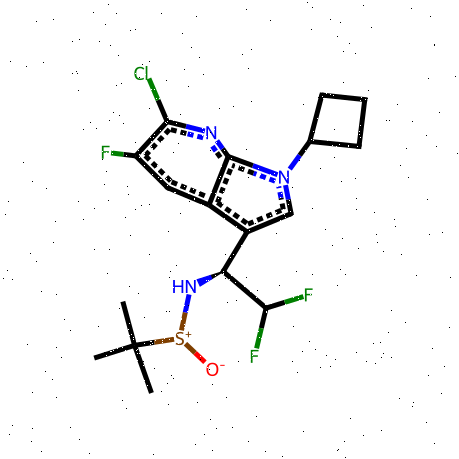 CC(C)(C)[S+]([O-])N[C@@H](c1cn(C2CCC2)c2nc(Cl)c(F)cc12)C(F)F